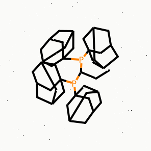 CCC(P(C12CC3CC(CC(C3)C1)C2)C12CC3CC(CC(C3)C1)C2)P(C12CC3CC(CC(C3)C1)C2)C12CC3CC(CC(C3)C1)C2